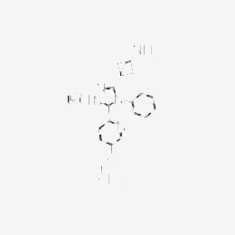 CCOc1ccc(-c2nnc(C34CC(N)(C3)C4)n2-c2ccccc2)nc1.Cl.Cl